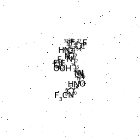 O=C(NCc1ccc(C(F)(F)F)nc1)c1cn(CCCCc2cc3c(-c4ccc(F)cc4F)c(C4CC4)[nH]c3nn2)nn1.O=C(O)C(F)(F)F